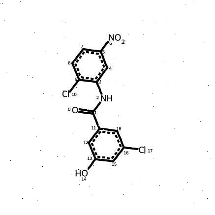 O=C(Nc1cc([N+](=O)[O-])ccc1Cl)c1cc(O)cc(Cl)c1